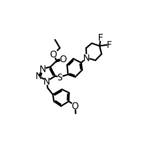 CCOC(=O)c1nnn(Cc2ccc(OC)cc2)c1Sc1ccc(N2CCC(F)(F)CC2)cc1